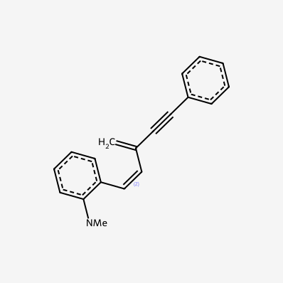 C=C(C#Cc1ccccc1)/C=C\c1ccccc1NC